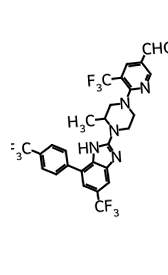 CC1CN(c2ncc(C=O)cc2C(F)(F)F)CCN1c1nc2cc(C(F)(F)F)cc(-c3ccc(C(F)(F)F)cc3)c2[nH]1